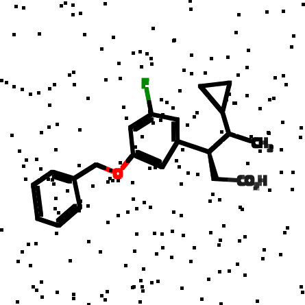 CC(C1CC1)[C@@H](CC(=O)O)c1cc(F)cc(OCc2ccccc2)c1